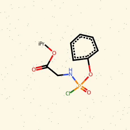 CC(C)OC(=O)CNP(=O)(Cl)Oc1ccccc1